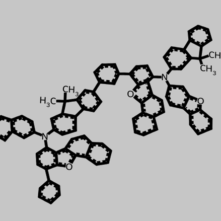 CC1(C)c2ccccc2-c2ccc(N(c3ccc4c(c3)oc3ccccc34)c3ccc(-c4cccc(-c5ccc6c(c5)C(C)(C)c5cc(N(c7ccc8ccccc8c7)c7ccc(-c8ccccc8)c8oc9c%10ccccc%10ccc9c78)ccc5-6)c4)c4oc5c6ccccc6ccc5c34)cc21